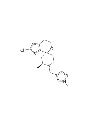 C[C@H]1C[C@@]2(CCN1Cc1cnn(C)c1)OCCc1cc(Cl)sc12